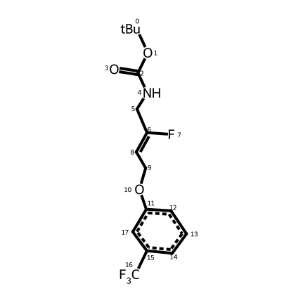 CC(C)(C)OC(=O)NC/C(F)=C/COc1cccc(C(F)(F)F)c1